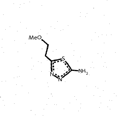 COCCc1nnc(N)s1